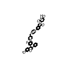 COc1ccc2c(c1)OC[C@H](c1ccccc1)[C@@H]2c1ccc(N2CCC(CN3CCN(c4ccc5c(c4)CN(C4CCC(=O)NC4=O)C5=O)CC3)CC2)c(F)c1